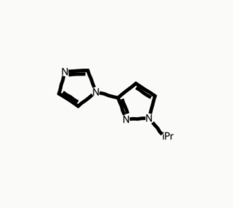 CC(C)n1ccc(-n2ccnc2)n1